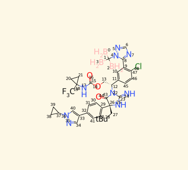 BC(B)(B)n1ncnc1-c1cc([C@@H](COC(=O)NC2(C(F)(F)F)CC2)N2C(=N)N[C@](CC(C)(C)C)(c3ccc(-c4cnn(C5CC5)c4)cc3)C2=O)ccc1Cl